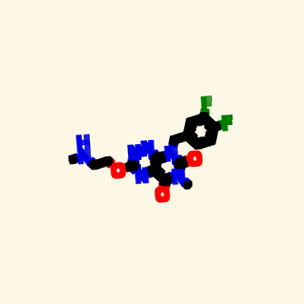 CNCCOc1nnc2c(n1)c(=O)n(C)c(=O)n2Cc1ccc(F)c(F)c1